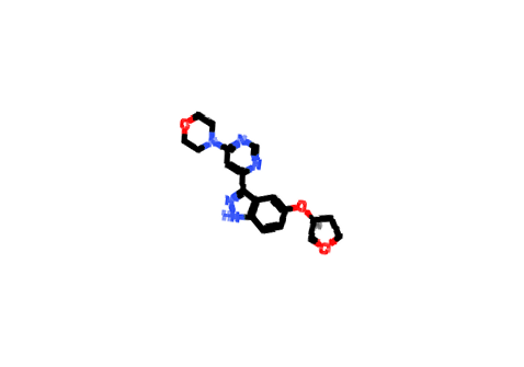 c1nc(-c2n[nH]c3ccc(O[C@H]4CCOC4)cc23)cc(N2CCOCC2)n1